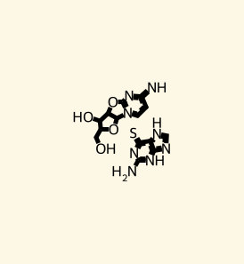 N=c1ccn2c(n1)OC1C(O)C(CO)OC12.Nc1nc(=S)c2[nH]cnc2[nH]1